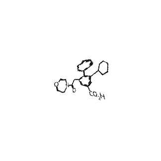 O=C(O)c1cc(CC(=O)N2CCOCC2)c(-c2ccccc2)c(C2CCCCC2)c1